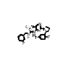 O=C(NCc1cccc(F)c1)Nc1nc(N2CCCC2c2cc(F)ccc2F)ncc1[N+](=O)[O-]